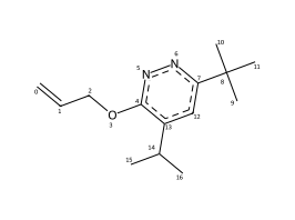 C=CCOc1nnc(C(C)(C)C)cc1C(C)C